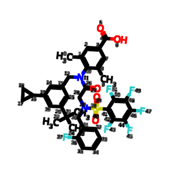 Cc1cc(C(=O)O)cc(C)c1N(Cc1cc(C2CC2)cc(C(C)(C)C)c1)C(=O)CN(Cc1ccccc1F)S(=O)(=O)c1c(F)c(F)c(F)c(F)c1F